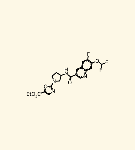 CCOC(=O)c1cnc(N2CCC(NC(=O)c3cnc4cc(OC(F)F)c(F)cc4c3)C2)o1